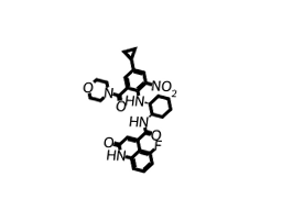 O=C(N[C@H]1CCCC[C@H]1Nc1c(C(=O)N2CCOCC2)cc(C2CC2)cc1[N+](=O)[O-])c1cc(=O)[nH]c2cccc(F)c12